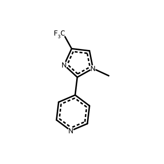 Cn1cc(C(F)(F)F)nc1-c1ccncc1